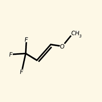 COC=CC(F)(F)F